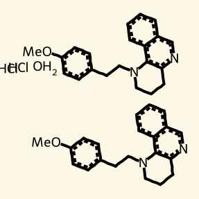 COc1ccc(CCN2CCCc3ncc4ccccc4c32)cc1.COc1ccc(CCN2CCCc3ncc4ccccc4c32)cc1.Cl.Cl.O